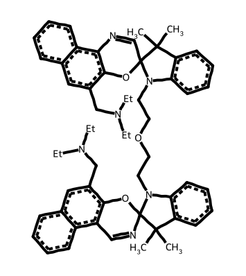 CCN(CC)Cc1cc2ccccc2c2c1OC1(N=C2)N(CCOCCN2c3ccccc3C(C)(C)C23C=Nc2c(c(CN(CC)CC)cc4ccccc24)O3)c2ccccc2C1(C)C